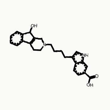 O=C(O)c1ccc2c(CCCCN3CCC4=C(C3)C(O)c3ccccc34)c[nH]c2c1